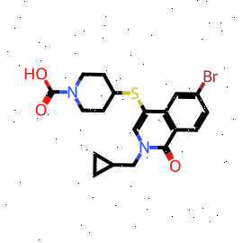 O=C(O)N1CCC(Sc2cn(CC3CC3)c(=O)c3ccc(Br)cc23)CC1